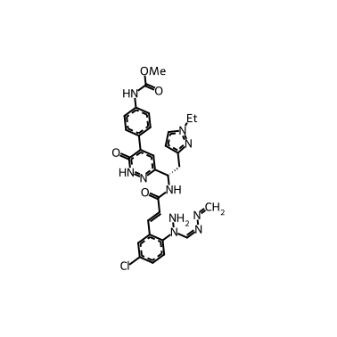 C=N/N=C\N(N)c1ccc(Cl)cc1/C=C/C(=O)N[C@@H](Cc1ccn(CC)n1)c1cc(-c2ccc(NC(=O)OC)cc2)c(=O)[nH]n1